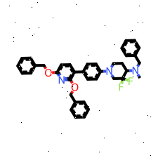 CN(Cc1ccccc1)C1CCN(c2ccc(-c3ccc(OCc4ccccc4)nc3OCc3ccccc3)cc2)CC1(F)F